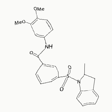 COc1ccc(NC(=O)c2cccc(S(=O)(=O)N3c4ccccc4CC3C)c2)cc1OC